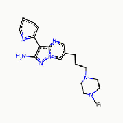 CC(C)N1CCN(CCCc2cnc3c(-c4ccccn4)c(N)nn3c2)CC1